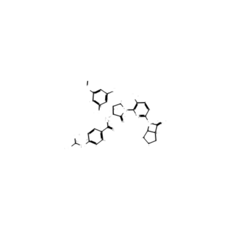 COc1cc(F)c([C@@H]2CN(c3nc(N4C(=O)C5CCCC54)ccc3F)C(=O)[C@H]2NC(=O)c2ccc(OC(F)F)cc2)c(F)c1